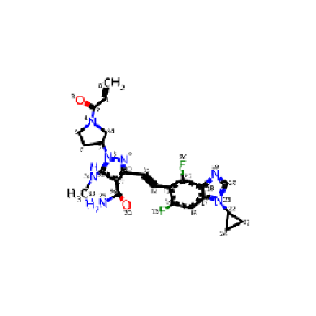 C=CC(=O)N1CCC(n2nc(C#Cc3c(F)cc4c(ncn4C4CC4)c3F)c(C(N)=O)c2NC)C1